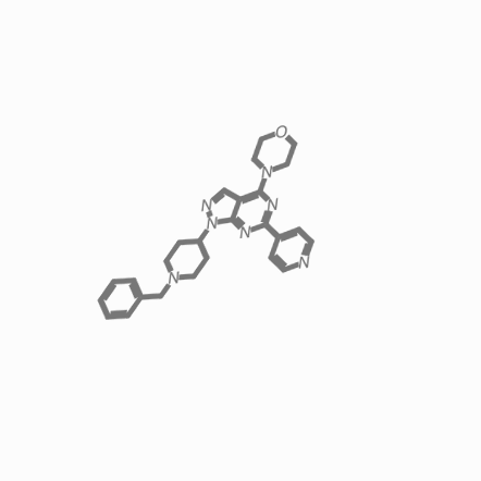 c1ccc(CN2CCC(n3ncc4c(N5CCOCC5)nc(-c5ccncc5)nc43)CC2)cc1